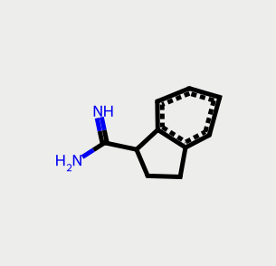 N=C(N)C1CCc2ccccc21